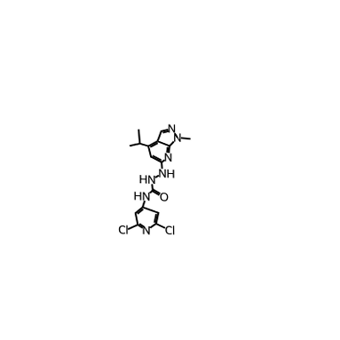 CC(C)c1cc(NNC(=O)Nc2cc(Cl)nc(Cl)c2)nc2c1cnn2C